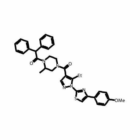 CCc1c(C(=O)N2CCN(C(=O)C(c3ccccc3)c3ccccc3)C(C)C2)cnn1-c1nc(-c2ccc(OC)cc2)cs1